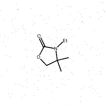 CCN1C(=O)OCC1(C)C